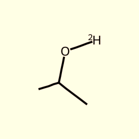 [2H]OC(C)C